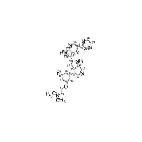 CN(C)CCOc1cc(F)cc(-c2cncc3[nH]c(-c4n[nH]c5ncc(-c6cnccn6)cc45)cc23)c1